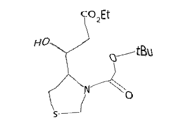 CCOC(=O)CC(O)C1CSCN1C(=O)OC(C)(C)C